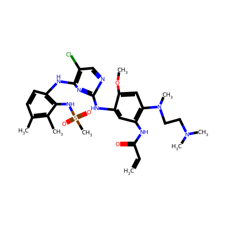 C=CC(=O)Nc1cc(Nc2ncc(Cl)c(Nc3ccc(C)c(C)c3NS(C)(=O)=O)n2)c(OC)cc1N(C)CCN(C)C